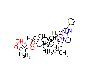 C=C(C)[C@@H]1CC[C@]2(C(=O)N3CCC[C@H]3c3nc(-c4ccccc4)cn3C)CC[C@]3(C)[C@H](CCC4[C@@]5(C)CC[C@H](OC(=O)[C@H]6C[C@@H](C(=O)O)C6(C)C)C(C)(C)C5CC[C@]43C)C12